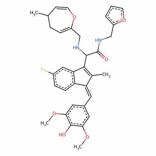 COc1cc(/C=C2/C(C)=C(C(NCC3=CCC(C)C=CO3)C(=O)NCc3ccco3)c3cc(F)ccc32)cc(OC)c1O